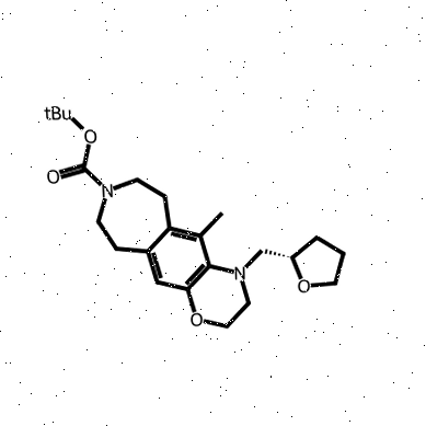 Cc1c2c(cc3c1N(C[C@@H]1CCCO1)CCO3)CCN(C(=O)OC(C)(C)C)CC2